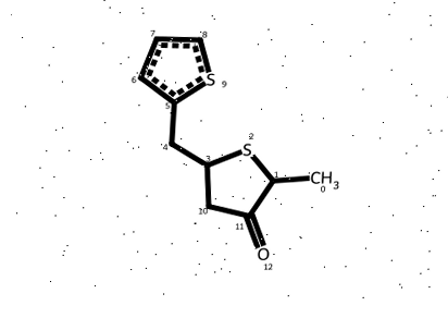 CC1SC(Cc2cccs2)CC1=O